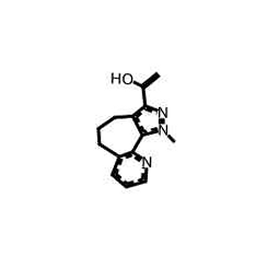 C=C(O)c1nn(C)c2c1CCCc1cccnc1-2